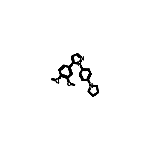 COc1ccc(-c2ccnn2-c2ccc(N3CCCC3)cc2)cc1OC